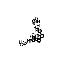 COc1nc(-c2cccc(-c3cccc(-c4ccn5cc(CNC[C@@H]6CCC(=O)N6)nc5c4)c3Cl)c2Cl)ccc1CNC[C@@H]1CCC(=O)N1